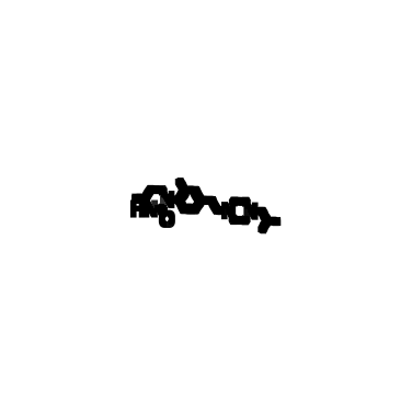 C=C1CCN(c2ccc(CCN3CCN(CC(C)C)CC3)cc2C)C(=O)N1